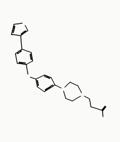 O=C(O)CCN1CCN(c2ccc(Oc3ccc(-c4ccsc4)cc3)cc2)CC1.[NaH]